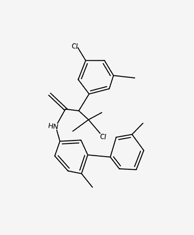 C=C(Nc1ccc(C)c(-c2cccc(C)c2)c1)C(c1cc(C)cc(Cl)c1)C(C)(C)Cl